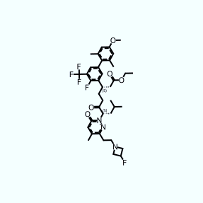 CCOC(=O)C[C@H](CCC(=O)[C@H](CC(C)C)n1nc(CCN2CC(F)C2)c(C)cc1=O)c1cc(-c2c(C)cc(OC)cc2C)cc(C(F)(F)F)c1F